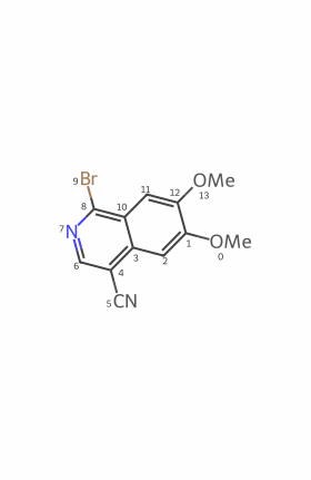 COc1cc2c(C#N)cnc(Br)c2cc1OC